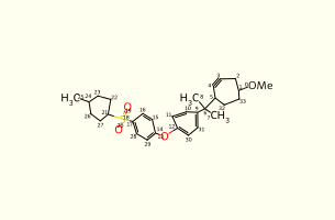 COC1CC#CC(C(C)(C)c2ccc(Oc3ccc(S(=O)(=O)C4CCC(C)CC4)cc3)cc2)CC1